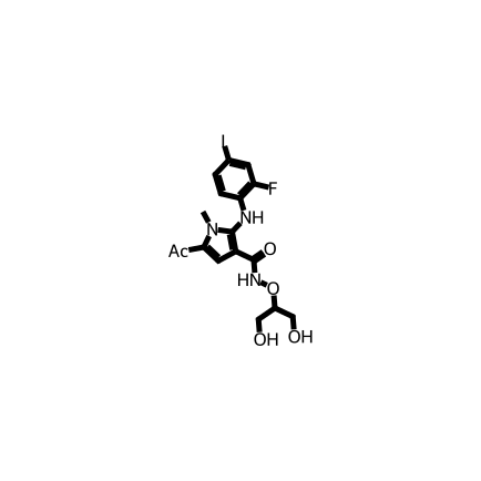 CC(=O)c1cc(C(=O)NOC(CO)CO)c(Nc2ccc(I)cc2F)n1C